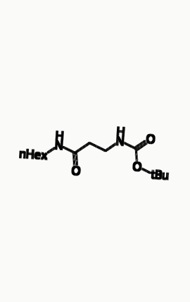 CCCCCCNC(=O)CCNC(=O)OC(C)(C)C